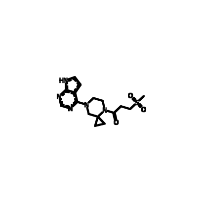 CS(=O)(=O)CCC(=O)N1CCN(c2ncnc3[nH]ccc23)CC12CC2